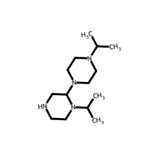 CC(C)N1CCN(C2CNCCN2C(C)C)CC1